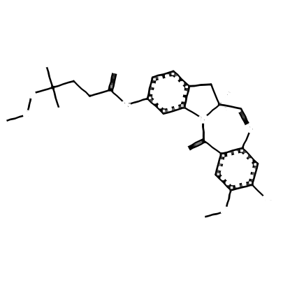 COc1cc2c(cc1O)N=C[C@@H]1Cc3ccc(NC(=O)CCC(C)(C)SSC)cc3N1C2=O